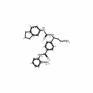 NCCC(NC(=O)Nc1ccc2c(c1)CCC2)c1ccc(C(=O)Nc2ccccc2N)cc1